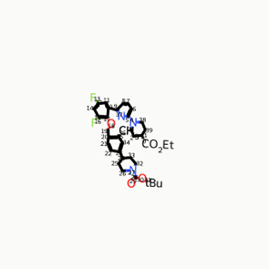 CCOC(=O)C1CCN(c2cccc(-c3cc(F)cc(F)c3OCc3ccc(C4CCN(C(=O)OC(C)(C)C)CC4)cc3C)n2)CC1